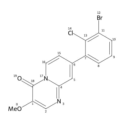 COc1cnc2cc(-c3cccc(Br)c3Cl)ccn2c1=O